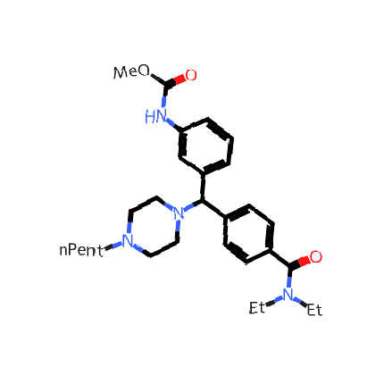 CCCCCN1CCN(C(c2ccc(C(=O)N(CC)CC)cc2)c2cccc(NC(=O)OC)c2)CC1